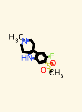 CN1CCc2[nH]c3cc(S(C)(=O)=O)c(F)cc3c2CC1